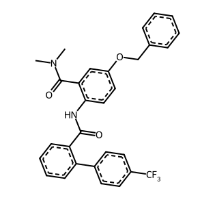 CN(C)C(=O)c1cc(OCc2ccccc2)ccc1NC(=O)c1ccccc1-c1ccc(C(F)(F)F)cc1